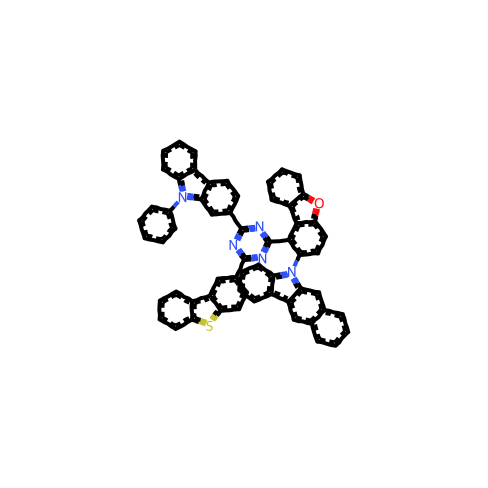 c1ccc(-n2c3ccccc3c3ccc(-c4nc(-c5ccc6sc7ccccc7c6c5)nc(-c5c(-n6c7ccccc7c7cc8ccccc8cc76)ccc6oc7ccccc7c56)n4)cc32)cc1